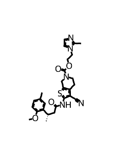 COc1ccc(C)cc1[C@@H](C)CC(=O)Nc1sc2c(c1C#N)CCN(C(=O)OCCn1ccnc1C)C2